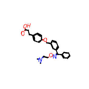 CN(C)CCON=C(c1ccccc1)c1cccc(COc2ccc(CCC(=O)O)cc2)c1